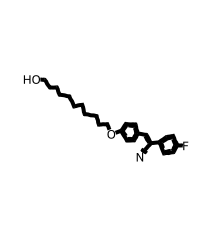 N#CC(=Cc1ccc(OCCCCCCCCCCCO)cc1)c1ccc(F)cc1